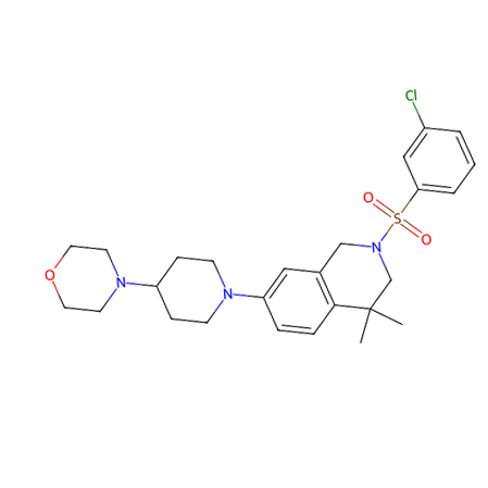 CC1(C)CN(S(=O)(=O)c2cccc(Cl)c2)Cc2cc(N3CCC(N4CCOCC4)CC3)ccc21